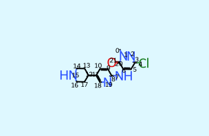 Cn1nc(Cl)cc(Nc2ccc(C3CCNCC3)cn2)c1=O